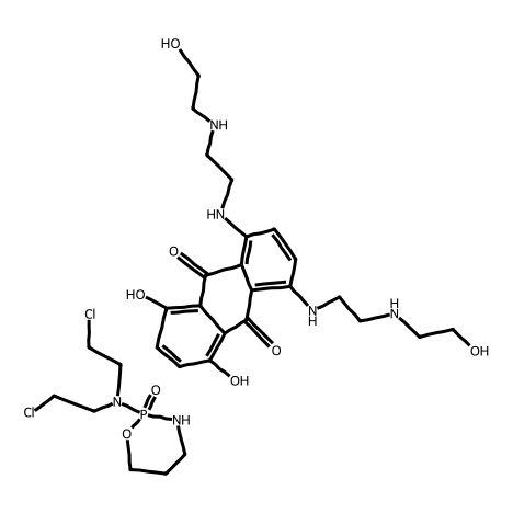 O=C1c2c(O)ccc(O)c2C(=O)c2c(NCCNCCO)ccc(NCCNCCO)c21.O=P1(N(CCCl)CCCl)NCCCO1